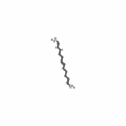 CC=CCCCC=CCCCC=CC